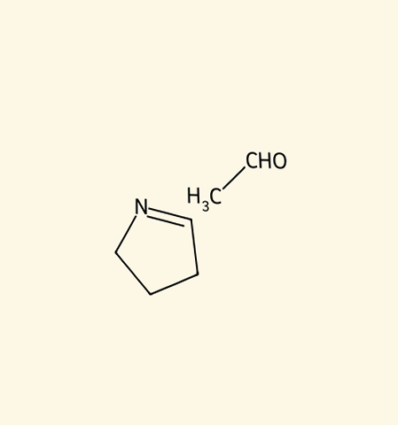 C1=NCCC1.CC=O